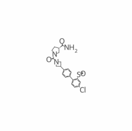 NC(=O)[C@@H]1CCN(C(=O)N2CC(c3ccc(-c4ccc(Cl)cc4[S+]=O)cc3)C2)C1